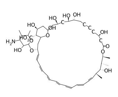 CC1OC(O[C@H]2/C=C/C=C/C=C/C=C/C=C/C=C/C=C/[C@H](C)[C@@H](O)[C@@H](C)[C@H](C)OC(=O)C[C@H](O)CCCC[C@@H](O)[C@H](O)C[C@H](O)C[C@]3(O)C[C@H](O)[C@@H](C(=O)O)C(C2)O3)C(O)C(N)C1C